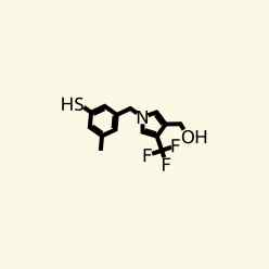 Cc1cc(S)cc(Cn2cc(CO)c(C(F)(F)F)c2)c1